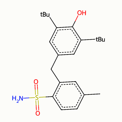 Cc1ccc(S(N)(=O)=O)c(Cc2cc(C(C)(C)C)c(O)c(C(C)(C)C)c2)c1